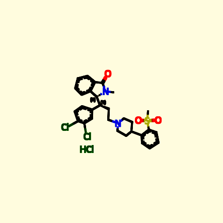 CN1C(=O)c2ccccc2[C@H]1[C@@H](CCN1CCC(c2ccccc2S(C)(=O)=O)CC1)c1ccc(Cl)c(Cl)c1.Cl